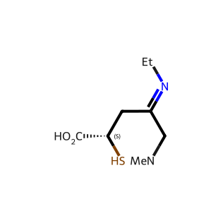 CCN=C(CNC)C[C@H](S)C(=O)O